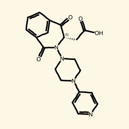 O=C(O)C[C@H]1C(=O)c2cccc(c2)C(=O)N1N1CCN(c2ccncc2)CC1